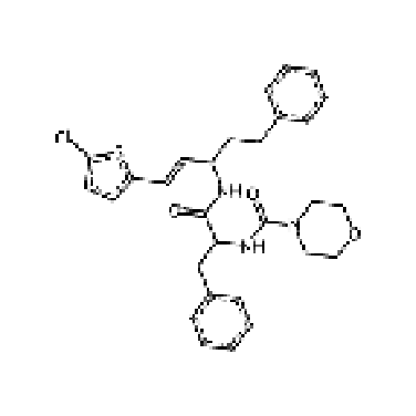 O=C(NC(C=Cc1ccc(Cl)s1)CCc1ccccc1)C(Cc1ccccc1)NC(=O)N1CCOCC1